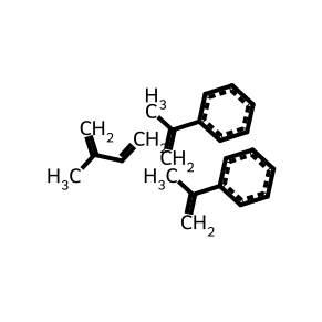 C=C(C)c1ccccc1.C=C(C)c1ccccc1.C=CC(=C)C